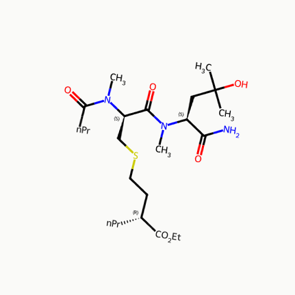 CCCC(=O)N(C)[C@H](CSCC[C@@H](CCC)C(=O)OCC)C(=O)N(C)[C@@H](CC(C)(C)O)C(N)=O